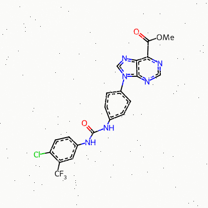 COC(=O)c1ncnc2c1ncn2-c1ccc(NC(=O)Nc2ccc(Cl)c(C(F)(F)F)c2)cc1